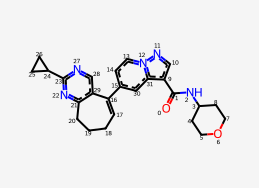 O=C(NC1CCOCC1)c1cnn2ccc(C3=CCCCc4nc(C5CC5)ncc43)cc12